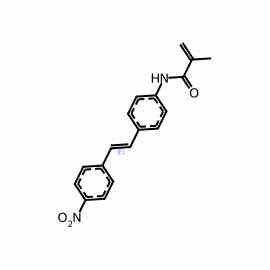 C=C(C)C(=O)Nc1ccc(/C=C/c2ccc([N+](=O)[O-])cc2)cc1